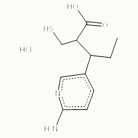 CCC(c1ccc(N)nc1)C(CS)C(=O)O.Cl